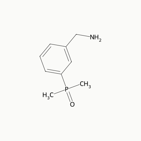 CP(C)(=O)c1cccc(CN)c1